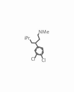 CNCCC(CC(C)C)c1ccc(Cl)c(Cl)c1